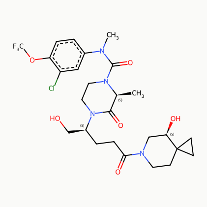 C[C@H]1C(=O)N([C@H](CO)CCC(=O)N2CCC3(CC3)[C@H](O)C2)CCN1C(=O)N(C)c1ccc(OC(F)(F)F)c(Cl)c1